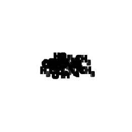 Cc1nc(N(C)C2CC2)c2ncn([C@@H]3O[C@](CCl)(CO[P@](=O)(N[C@@H](C)C(=O)OC(C)C)Oc4ccccc4)[C@@H](O)[C@H]3F)c2n1